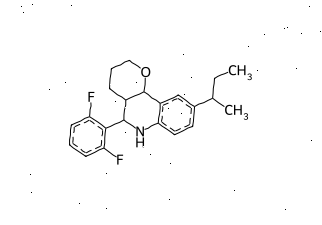 CCC(C)c1ccc2c(c1)C1OCCCC1C(c1c(F)cccc1F)N2